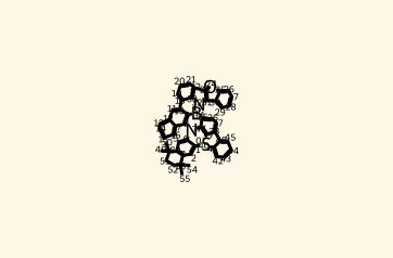 Cc1cc2c(cc1N1c3c4c(cc5ccccc35)-c3cccc5c6oc7ccccc7c6n(c35)B4c3ccc4c(sc5ccccc54)c31)C(C)(C)CCC2(C)C